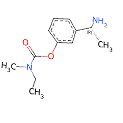 CCN(C)C(=O)Oc1cccc([C@@H](C)N)c1